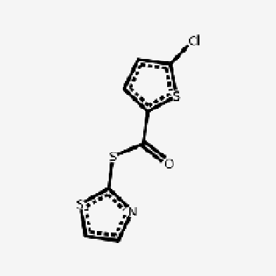 O=C(Sc1nccs1)c1ccc(Cl)s1